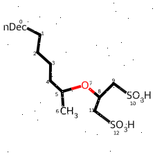 CCCCCCCCCCCCCCC(C)OC(CS(=O)(=O)O)CS(=O)(=O)O